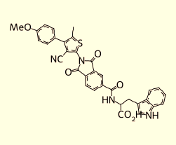 COc1ccc(-c2c(C)sc(N3C(=O)c4ccc(C(=O)NC(Cc5c[nH]c6ccccc56)C(=O)O)cc4C3=O)c2C#N)cc1